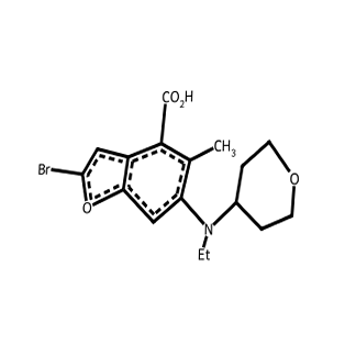 CCN(c1cc2oc(Br)cc2c(C(=O)O)c1C)C1CCOCC1